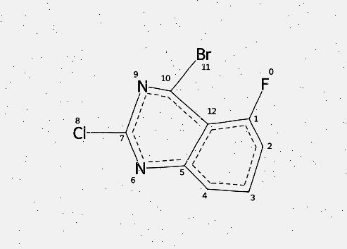 Fc1cccc2nc(Cl)nc(Br)c12